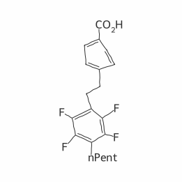 CCCCCc1c(F)c(F)c(CCc2ccc(C(=O)O)cc2)c(F)c1F